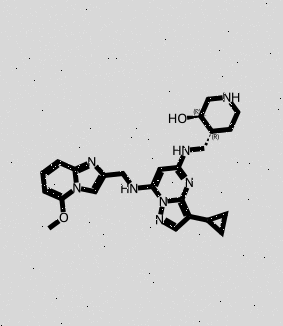 COc1cccc2nc(CNc3cc(NC[C@H]4CCNC[C@@H]4O)nc4c(C5CC5)cnn34)cn12